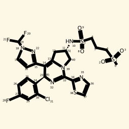 CS(=O)(=O)CCCS(=O)(=O)N[C@H]1CC2=C(c3ccn(C(F)F)n3)[C@H](c3ccc(F)cc3Cl)N=C(c3nccs3)N2C1